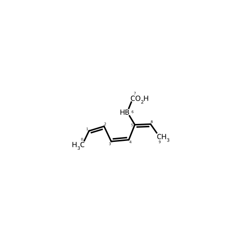 C\C=C/C=C\C(BC(=O)O)=C/C